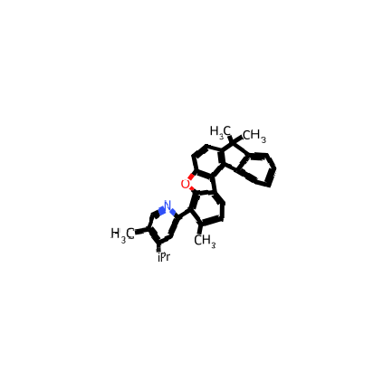 Cc1cnc(-c2c(C)ccc3c2oc2ccc4c(c23)-c2ccccc2C4(C)C)cc1C(C)C